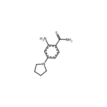 NC(=S)c1ccc(N2CCCC2)cc1N